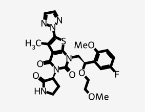 COCCO[C@@H](Cn1c(=O)n([C@H]2CCNC2=O)c(=O)c2c(C)c(-n3nccn3)sc21)c1cc(F)ccc1OC